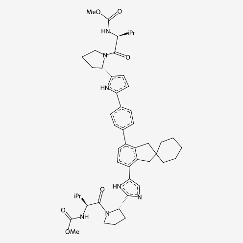 COC(=O)N[C@H](C(=O)N1CCC[C@H]1c1ccc(-c2ccc(-c3ccc(-c4cnc([C@@H]5CCCN5C(=O)[C@@H](NC(=O)OC)C(C)C)[nH]4)c4c3CC3(CCCCC3)C4)cc2)[nH]1)C(C)C